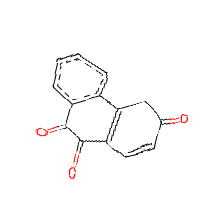 O=C1C=CC2=C(C1)c1ccccc1C(=O)C2=O